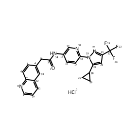 Cl.O=C(Cc1ccc2ncccc2c1)Nc1ccc(-n2nc(C(F)(F)F)cc2C2CC2)nc1